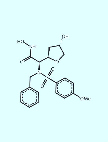 COc1ccc(S(=O)(=O)N(Cc2ccccc2)[C@@H](C(=O)NO)[C@H]2C[C@H](O)CO2)cc1